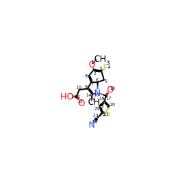 COC1=C(F)CC2C(=C1)C(CC(=O)O)=C(C)N2C(=O)c1csc(C#N)c1